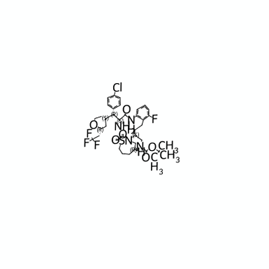 CC(C)(C)OC(=O)N1C[C@H](CCc2c(F)cccc2NC(=O)[C@@H](N)[C@@H](c2ccc(Cl)cc2)[C@H]2CCO[C@@H](CC(F)(F)F)C2)N2C[C@H]1CCCS2(=O)=O